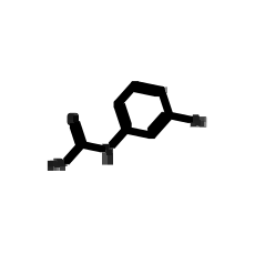 CCCC(=O)Nc1cc[c]c(C(C)=O)c1